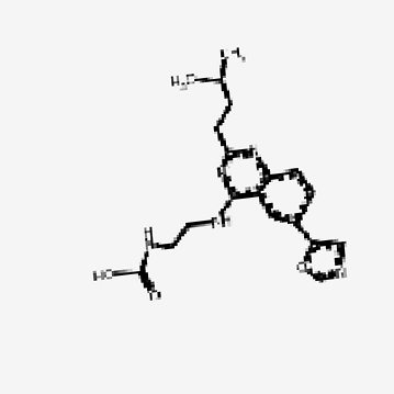 CC(C)CCc1nc(NCCNC(=O)O)c2cc(-c3cnco3)ccc2n1